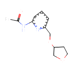 CC(C)C(=O)Nc1cccc(COC2CCOC2)n1